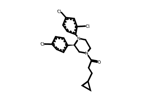 O=C(CCC1CC1)N1CCN(c2ccc(Cl)cc2Cl)[C@H](c2ccc(Cl)cc2)C1